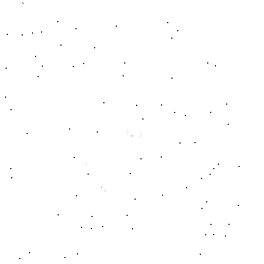 CCOC(=O)C1Cc2ccccc2N1C(=O)C(NC(=O)OC(C)(C)C)c1ccccc1